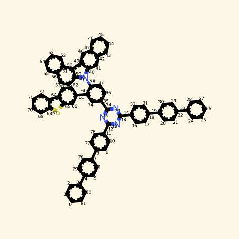 c1ccc(-c2ccc(-c3ccc(-c4nc(-c5ccc(-c6ccc(-c7ccccc7)cc6)cc5)nc(-c5ccc(-n6c7cc8ccccc8cc7c7c8ccccc8ccc76)c(-c6ccc7c(c6)sc6ccccc67)c5)n4)cc3)cc2)cc1